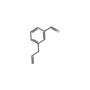 C=CCc1cccc([C]=O)c1